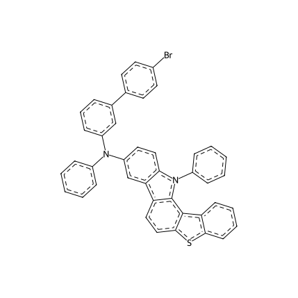 Brc1ccc(-c2cccc(N(c3ccccc3)c3ccc4c(c3)c3ccc5sc6ccccc6c5c3n4-c3ccccc3)c2)cc1